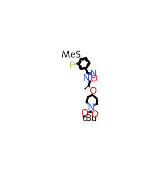 CSc1ccc(-c2noc([C@H](C)OC3CCN(C(=O)OC(C)(C)C)CC3)n2)cc1F